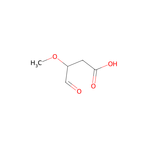 COC(C=O)CC(=O)O